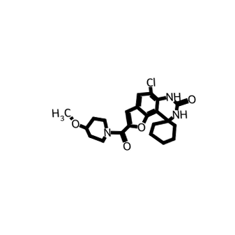 COC1CCN(C(=O)c2cc3cc(Cl)c4c(c3o2)C2(CCCCC2)NC(=O)N4)CC1